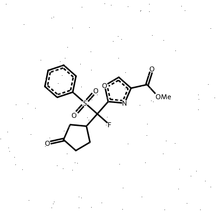 COC(=O)c1coc(C(F)(C2CCC(=O)C2)S(=O)(=O)c2ccccc2)n1